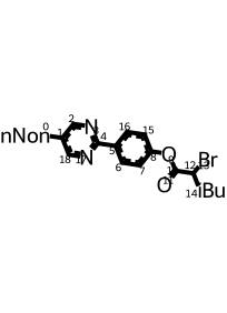 CCCCCCCCCc1cnc(-c2ccc(OC(=O)C(Br)C(C)CC)cc2)nc1